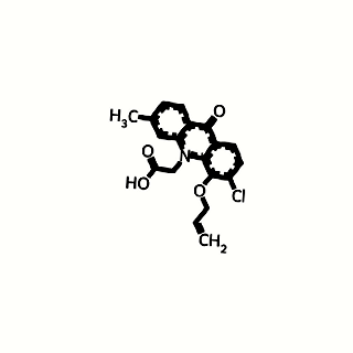 C=CCOc1c(Cl)ccc2c(=O)c3ccc(C)cc3n(CC(=O)O)c12